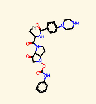 CC(C)CC(NC(=O)c1ccc(N2CCNCC2)cc1)C(=O)N1CCC2C1C(=O)CN2OC(=O)Nc1ccccc1